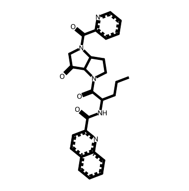 CCCC(NC(=O)c1ccc2ccccc2n1)C(=O)N1CCC2C1C(=O)CN2C(=O)c1ccccn1